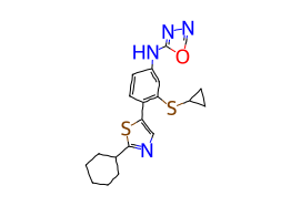 c1nnc(Nc2ccc(-c3cnc(C4CCCCC4)s3)c(SC3CC3)c2)o1